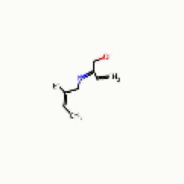 C=C/C(CO)=N\C/C(=C\C)CC